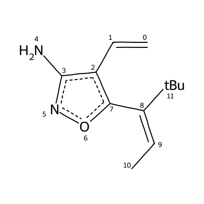 C=Cc1c(N)noc1/C(=C\C)C(C)(C)C